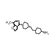 Cc1cnc(N2CCN(CCC3CCC(N)CC3)CC2)c2ccoc12